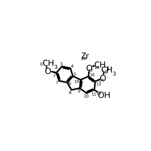 COc1ccc2c(c1)Cc1cc(O)c(OC)c(OC)c1-2.[Zr]